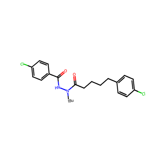 CC(C)(C)N(NC(=O)c1ccc(Cl)cc1)C(=O)CCCCc1ccc(Cl)cc1